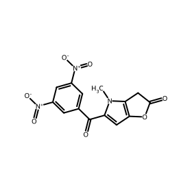 Cn1c(C(=O)c2cc([N+](=O)[O-])cc([N+](=O)[O-])c2)cc2c1CC(=O)O2